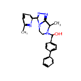 Cc1cccc(-c2nnc3n2CCN(C(O)c2ccc(-c4ccccc4)cc2)C3C)n1